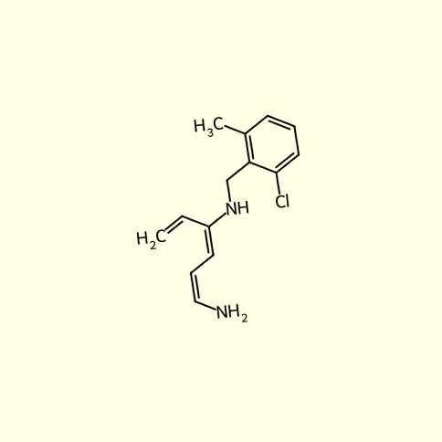 C=C/C(=C\C=C/N)NCc1c(C)cccc1Cl